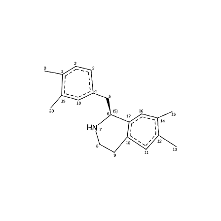 Cc1ccc(C[C@@H]2NCCc3cc(C)c(C)cc32)cc1C